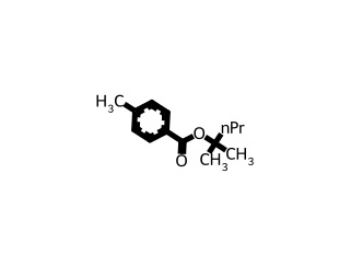 CCCC(C)(C)OC(=O)c1ccc(C)cc1